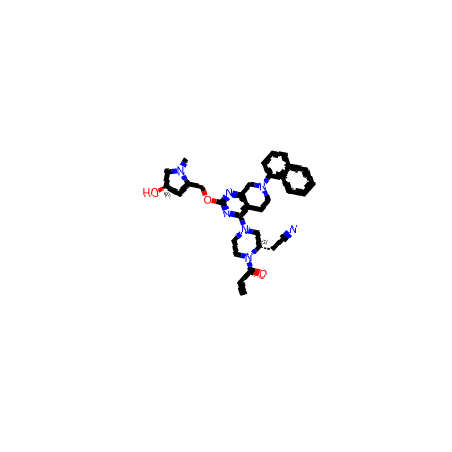 C=CC(=O)N1CCN(c2nc(OCC3C[C@@H](O)CN3C)nc3c2CCN(c2cccc4ccccc24)C3)C[C@@H]1CC#N